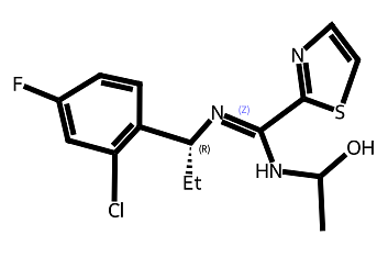 CC[C@@H](/N=C(\NC(C)O)c1nccs1)c1ccc(F)cc1Cl